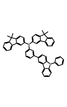 CC1(C)c2ccccc2-c2cc(N(c3cccc(-c4ccc5c(c4)c4ccccc4n5-c4ccccc4)c3)c3ccc4c(c3)-c3ccccc3C4(C)C)ccc21